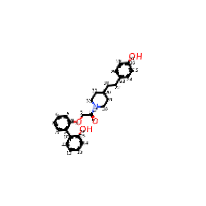 O=C(COc1ccccc1-c1ccccc1O)N1CCC(CCc2ccc(O)cc2)CC1